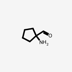 NC1(C=O)CCCC1